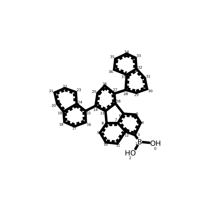 OB(O)c1ccc2c3c(cccc13)-c1c(-c3cccc4ccccc34)ccc(-c3cccc4ccccc34)c1-2